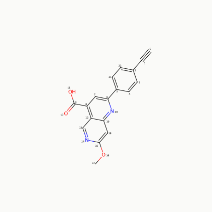 C#Cc1ccc(-c2cc(C(=O)O)c3cnc(OC)cc3n2)cc1